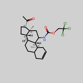 CC(=O)[C@H]1CC[C@H]2[C@@H]3CCC4CC=CC[C@]4(C)[C@H]3C(NC(=O)OCC(Cl)(Cl)Cl)C[C@]12C